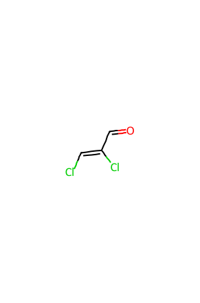 O=CC(Cl)=CCl